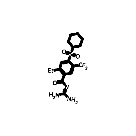 CCc1cc(S(=O)(=O)C2CCCCC2)c(C(F)(F)F)cc1C(=O)N=C(N)N